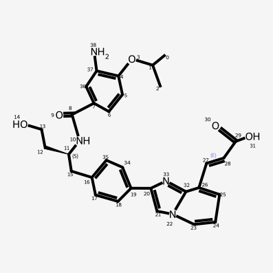 CC(C)Oc1ccc(C(=O)N[C@H](CCO)Cc2ccc(-c3cn4cccc(/C=C/C(=O)O)c4n3)cc2)cc1N